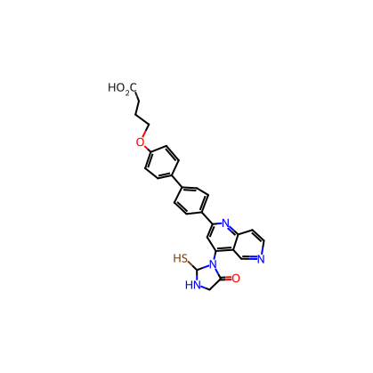 O=C(O)CCCOc1ccc(-c2ccc(-c3cc(N4C(=O)CNC4S)c4cnccc4n3)cc2)cc1